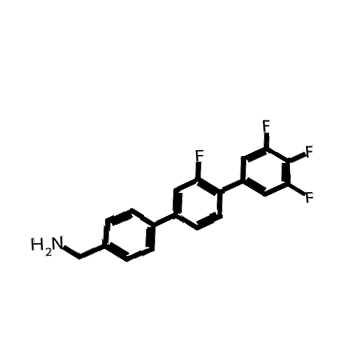 NCc1ccc(-c2ccc(-c3cc(F)c(F)c(F)c3)c(F)c2)cc1